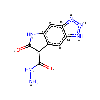 NNC(=O)C1C(=O)Nc2cc3nn[nH]c3cc21